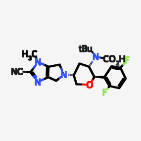 Cn1c(C#N)nc2c1CN([C@H]1CO[C@H](c3cc(F)ccc3F)[C@@H](N(C(=O)O)C(C)(C)C)C1)C2